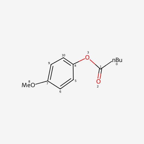 [CH2]CCCC(=O)Oc1ccc(OC)cc1